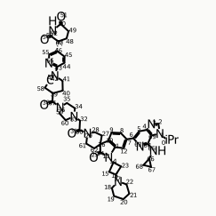 CC(C)n1cnc2cc(-c3ccc4c(c3)N(C3CC(N5CCCCC5)C3)C(=O)C43CCN(C(=O)CN4CCN(C(=O)C5CCN(c6ccc([C@H]7CCC(=O)NC7=O)cn6)CC5)CC4)CC3)nc(NC3CC3)c21